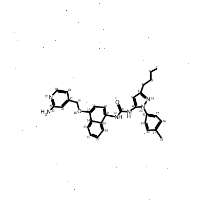 CCCCc1cc(NC(=O)Nc2ccc(OCc3ccnc(N)c3)c3ccccc23)n(-c2ccc(C)cc2)n1